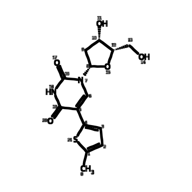 Cc1ccc(-c2cn([C@@H]3C[C@H](O)[C@H](CO)O3)c(=O)[nH]c2=O)s1